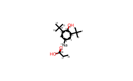 CC(C)(C)c1c[c]([Na])cc(C(C)(C)C)c1O.CCC(=O)O